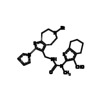 CCN1CCc2sc(-n3cccc3)c(CNC(=O)N(C)c3sc4c(c3C=O)CCCC4)c2CC1